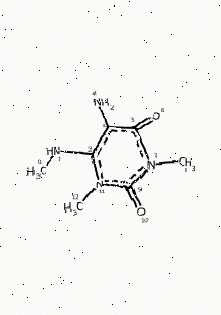 CNc1c(N)c(=O)n(C)c(=O)n1C